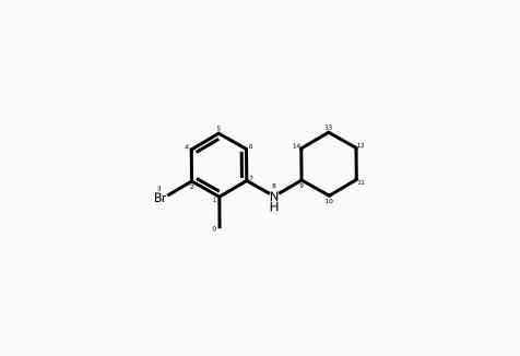 Cc1c(Br)cccc1NC1CCCCC1